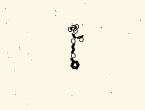 CS(=O)(=O)OCC(OCCCCOCc1ccccc1)[C@@H]1CO1